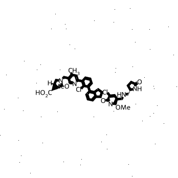 COc1nc(O[C@H]2CCc3c(-c4cccc(-c5cc(C)c(CN6CC7[C@@H](C6)[C@@H]7C(=O)O)c(OC)n5)c4Cl)cccc32)c(Cl)cc1CNC[C@@H]1CCC(=O)N1